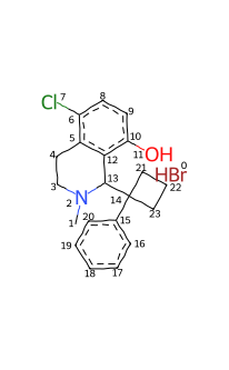 Br.CN1CCc2c(Cl)ccc(O)c2C1C1(c2ccccc2)CCC1